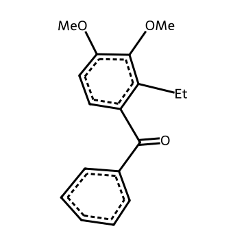 CCc1c(C(=O)c2ccccc2)ccc(OC)c1OC